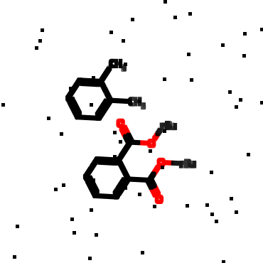 CCCCOC(=O)c1ccccc1C(=O)OCCCC.Cc1ccccc1C